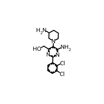 Nc1nc(-c2cccc(Cl)c2Cl)nc(CO)c1N1CCCC(N)C1